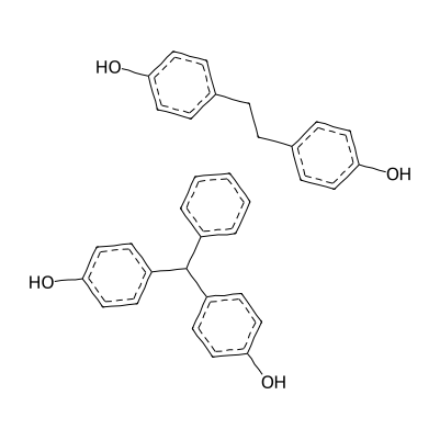 Oc1ccc(C(c2ccccc2)c2ccc(O)cc2)cc1.Oc1ccc(CCc2ccc(O)cc2)cc1